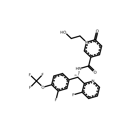 O=C(N[C@@H](c1ccc(OC(F)(F)F)c(F)c1)c1ncccc1F)c1ccc(=O)n(CCO)c1